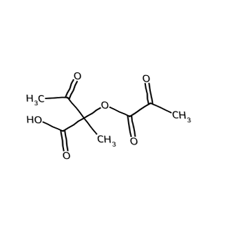 CC(=O)C(=O)OC(C)(C(C)=O)C(=O)O